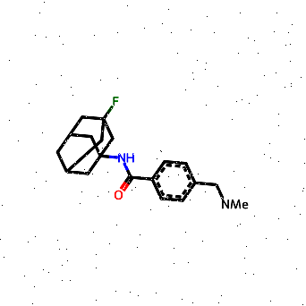 CNCc1ccc(C(=O)NC23CC4CC(CC(F)(C4)C2)C3)cc1